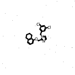 Clc1cc(Cl)cc(Cn2ccnc2COc2cccc3c2CCCC3)c1